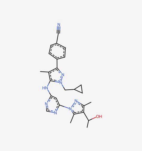 Cc1nn(-c2cc(Nc3c(C)c(-c4ccc(C#N)cc4)nn3CC3CC3)ncn2)c(C)c1C(C)O